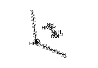 CCCCCCCCCCCCCCCCCCOP(=O)(O)OCCCCCCCCCCCCCCCCCC.N=C(N)NCCC[C@H](N)C(=O)O